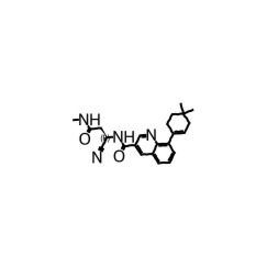 CNC(=O)C[C@H](C#N)NC(=O)c1cnc2c(C3=CCC(C)(C)CC3)cccc2c1